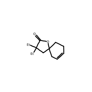 CCC1(CC)CC2(CC=[C]CC2)OC1=O